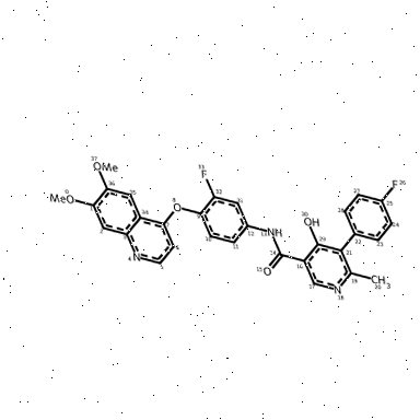 COc1cc2nccc(Oc3ccc(NC(=O)c4cnc(C)c(-c5ccc(F)cc5)c4O)cc3F)c2cc1OC